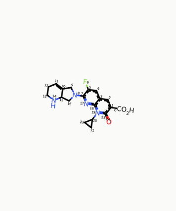 O=C(O)c1cc2cc(F)c(N3CC4=CCCNC4C3)nc2n(C2CC2)c1=O